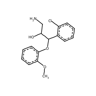 COc1ccccc1OC(c1ccccc1Cl)C(O)CN